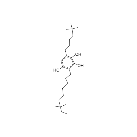 CCC(C)(C)CCCCCCc1c(O)cc(CCCCC(C)(C)C)c(O)c1O